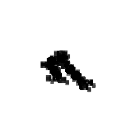 COC1(C(=O)Nc2ccc3[nH]nc(-c4ccc(OC(C)C)nc4)c3c2)CCN(CC(=O)N2CC=C(c3ccc(-c4nc(C)n(C)n4)cc3)CC2)C1